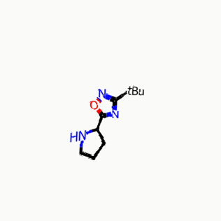 CC(C)(C)c1noc(C2CCCN2)n1